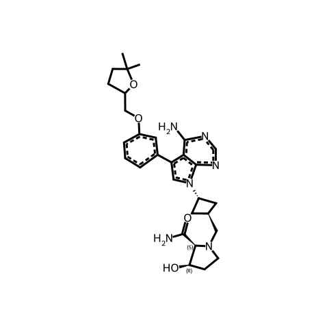 CC1(C)CCC(COc2cccc(-c3cn([C@H]4C[C@H](CN5CC[C@@H](O)[C@H]5C(N)=O)C4)c4ncnc(N)c34)c2)O1